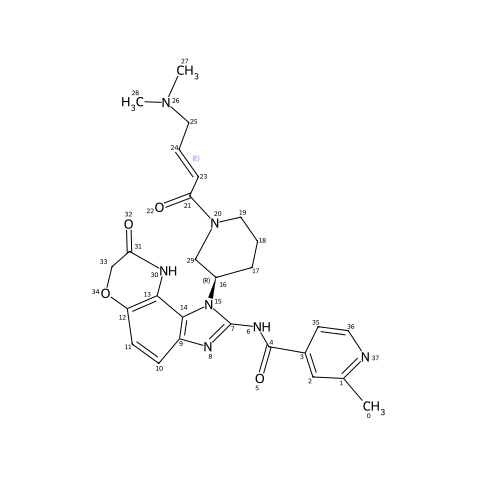 Cc1cc(C(=O)Nc2nc3ccc4c(c3n2[C@@H]2CCCN(C(=O)/C=C/CN(C)C)C2)NC(=O)CO4)ccn1